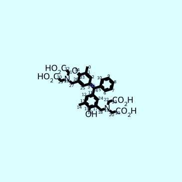 CC1=C/C(=C(\c2ccccc2)c2cc(C)c(O)c(CN(CC(=O)O)CC(=O)O)c2)C=C(CN(CC(=O)O)CC(=O)O)C1=O